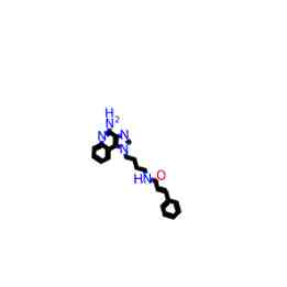 Nc1nc2ccccc2c2c1ncn2CCCCNC(=O)C=Cc1ccccc1